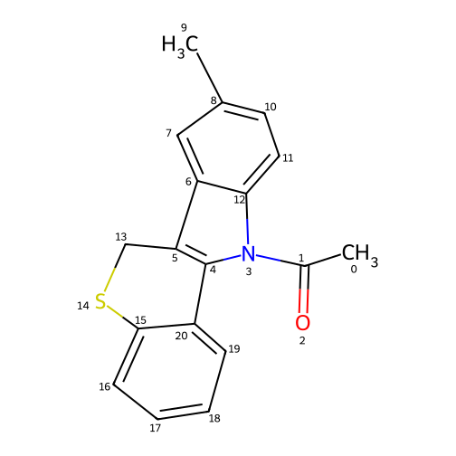 CC(=O)n1c2c(c3cc(C)ccc31)CSc1ccccc1-2